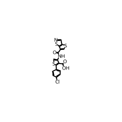 O=C(O)c1c(NC(=O)c2csc3cnsc23)csc1-c1ccc(Cl)cc1